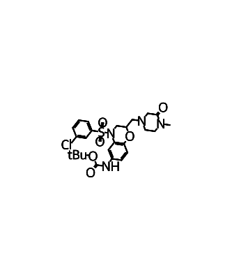 CN1CCN(CC2CN(S(=O)(=O)c3cccc(Cl)c3)c3cc(NC(=O)OC(C)(C)C)ccc3O2)CC1=O